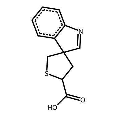 O=C(O)C1CC2(C=Nc3ccccc32)CS1